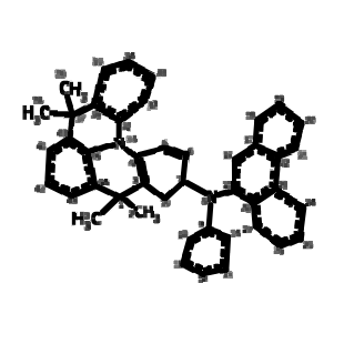 CC1(C)C2=C(C=CC(N(c3ccccc3)c3cc4ccccc4c4ccccc34)C2)N2c3ccccc3C(C)(C)c3cccc1c32